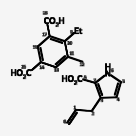 C=CCc1cc[nH]c1C(=O)O.CCc1c(C)cc(C(=O)O)cc1C(=O)O